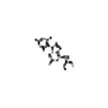 CCC(CC)Nc1cc(C)nc2c1nc(C)n2-c1c(C)cc(C)cc1C